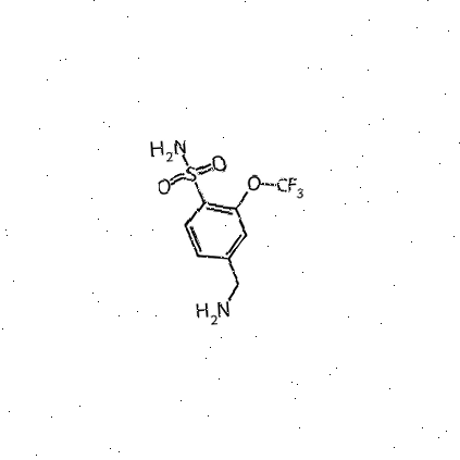 NCc1ccc(S(N)(=O)=O)c(OC(F)(F)F)c1